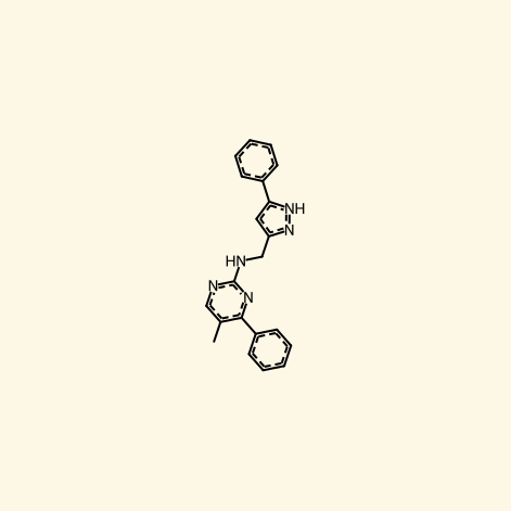 Cc1cnc(NCc2cc(-c3ccccc3)[nH]n2)nc1-c1ccccc1